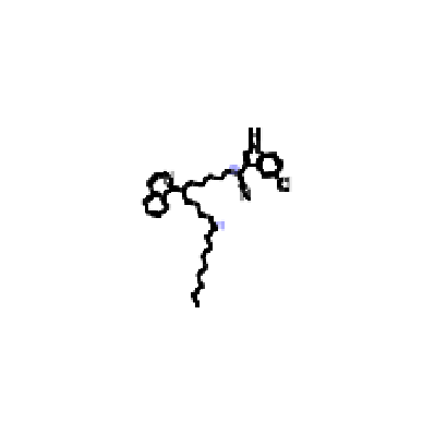 CCCCCCCC/C=C\CCCC(CCCC/C=C(\C#N)c1c[nH]c2ccc(Cl)cc12)c1nccc2ccccc12